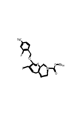 CC(C)(C)OC(=O)N1CCc2cc(I)c(OCc3ccc(C#N)cc3F)nc2C1